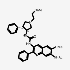 COCCN1C[C@@H](NC(=O)Nc2cc3cc(OC)c(NC(C)=O)cc3nc2-c2ccccc2)[C@H](c2ccccc2)C1